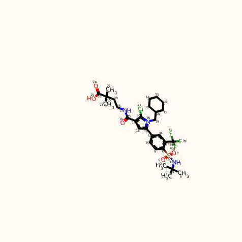 CC(C)(C)NS(=O)(=O)c1ccc(-c2cc(C(=O)NCCC(C)(C)C(=O)O)c(Cl)n2CC2CCCCC2)cc1C(F)(F)F